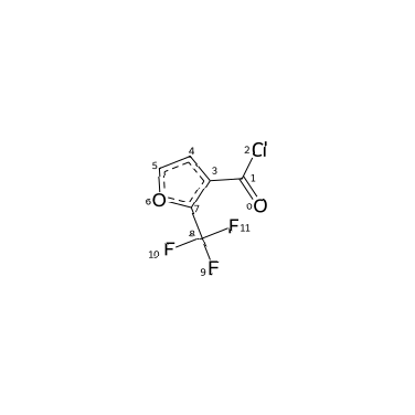 O=C(Cl)c1ccoc1C(F)(F)F